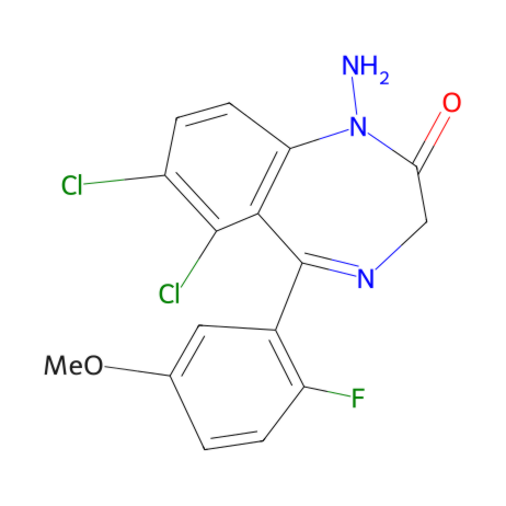 COc1ccc(F)c(C2=NCC(=O)N(N)c3ccc(Cl)c(Cl)c32)c1